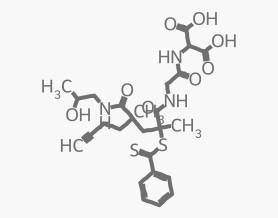 C#CCCC(C)(CC(C)(SC(=S)c1ccccc1)C(=O)NCC(=O)NC(C(=O)O)C(=O)O)C(=O)NCC(C)O